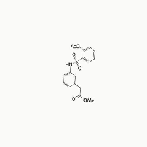 COC(=O)Cc1cccc(NS(=O)(=O)c2ccccc2OC(C)=O)c1